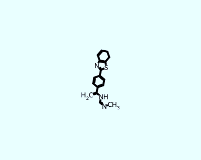 C=C(N/C=N\C)c1ccc(-c2nc3c(s2)CCC=C3)cc1